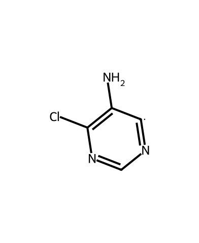 Nc1[c]ncnc1Cl